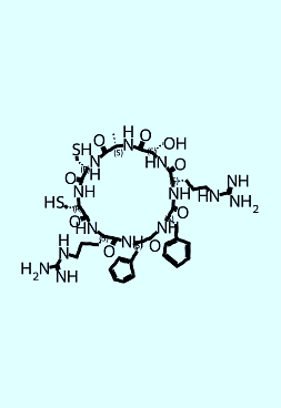 C[C@@H]1NC(=O)[C@H](CO)NC(=O)[C@H](CCCNC(=N)N)NC(=O)[C@H](Cc2ccccc2)NC(=O)[C@H](Cc2ccccc2)NC(=O)[C@H](CCCNC(=N)N)NC(=O)[C@H](CS)NC(=O)[C@H](CS)NC1=O